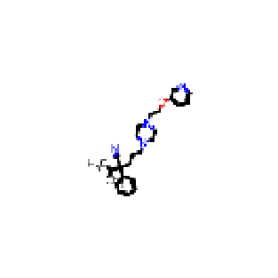 CC(C)C(C#N)(CCCN1CCN(CCOc2cccnc2)CC1)c1ccccc1